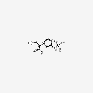 CCC(C(=O)Cl)c1ccc2c(c1)OC(F)(F)O2